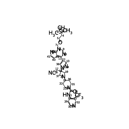 C[Si](C)(C)CCOCn1cnc(-c2cnn(C3(CC#N)CN(C4CCN(C(=O)Nc5ccncc5C(F)(F)F)CC4)C3)c2)c2ccnc1-2